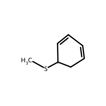 CS[C]1C=CC=CC1